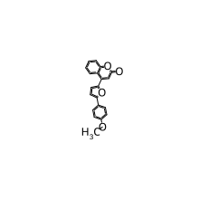 COc1ccc(-c2ccc(-c3cc(=O)oc4ccccc34)o2)cc1